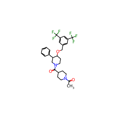 CC(=O)N1CCC(C(=O)N2CCC(OCc3cc(C(F)(F)F)cc(C(F)(F)F)c3)C(c3ccccc3)C2)CC1